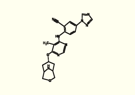 Cc1c(Nc2ccc(-n3cncn3)cc2C#N)ncnc1OC1CC2COCC(C1)N2